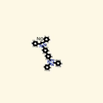 N#Cc1ccccc1-c1cc(-c2ccccc2)nc(-c2ccc(-c3ccc(-c4nc(-c5ccccc5)nc(-c5ccccc5)n4)cc3)cc2)n1